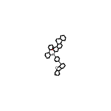 c1ccc(-c2ccccc2N(c2ccc(-c3cccc4c3oc3ccccc34)cc2)c2ccc3c(ccc4c5ccccc5ccc34)c2)cc1